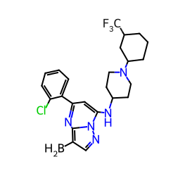 Bc1cnn2c(NC3CCN(C4CCCC(C(F)(F)F)C4)CC3)cc(-c3ccccc3Cl)nc12